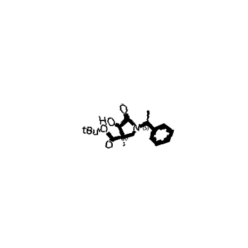 C[C@@H](c1ccccc1)N1C[C@@](C)(C(=O)OC(C)(C)C)C(O)C1=O